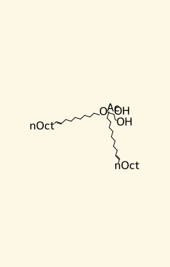 CCCCCCCCC=CCCCCCCCCOC(CCCCCCCCC=CCCCCCCCC)(C(C)=O)C(O)CO